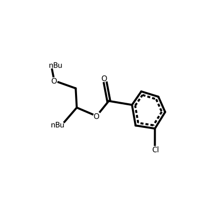 CCCCOCC(CCCC)OC(=O)c1cccc(Cl)c1